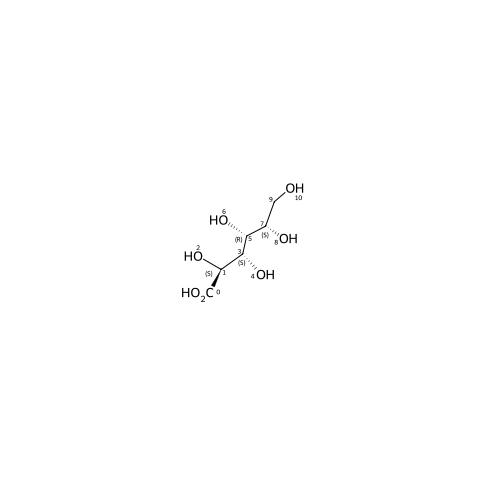 O=C(O)[C@@H](O)[C@@H](O)[C@H](O)[C@@H](O)CO